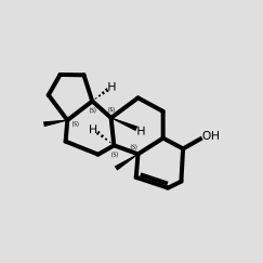 C[C@@]12CCC[C@H]1[C@@H]1CCC3C(O)CC=C[C@]3(C)[C@H]1CC2